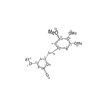 CCOc1cc(/C=C/c2cc(OC)c(OC)c(OC)c2)oc(=O)c1